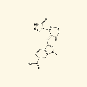 Cn1cc(C=C2NC=CN=C2C2C=NNC2=O)c2ccc(C(=O)O)cc21